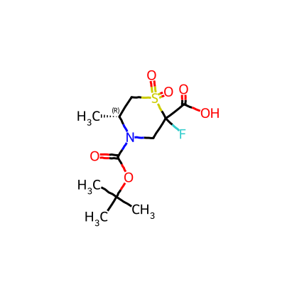 C[C@@H]1CS(=O)(=O)C(F)(C(=O)O)CN1C(=O)OC(C)(C)C